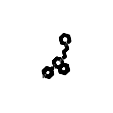 c1ccc2c(c1)N(CCCN1CCCCC1)CCN2c1ccncc1